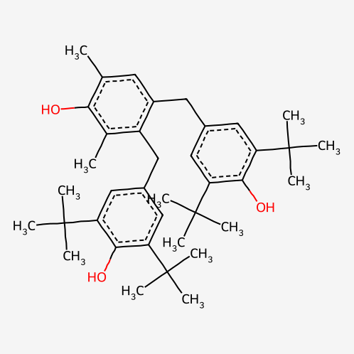 Cc1cc(Cc2cc(C(C)(C)C)c(O)c(C(C)(C)C)c2)c(Cc2cc(C(C)(C)C)c(O)c(C(C)(C)C)c2)c(C)c1O